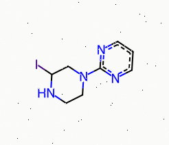 IC1CN(c2ncccn2)CCN1